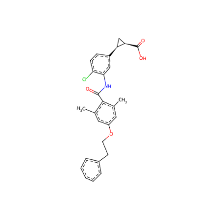 Cc1cc(OCCc2ccccc2)cc(C)c1C(=O)Nc1cc([C@H]2C[C@H]2C(=O)O)ccc1Cl